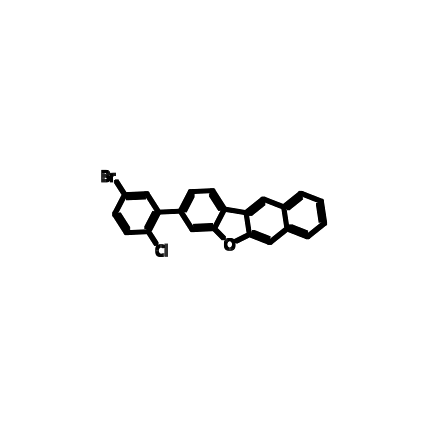 Clc1ccc(Br)cc1-c1ccc2c(c1)oc1cc3ccccc3cc12